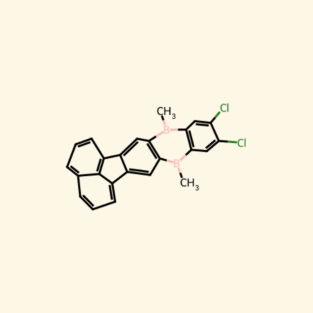 CB1c2cc(Cl)c(Cl)cc2B(C)c2cc3c(cc21)-c1cccc2cccc-3c12